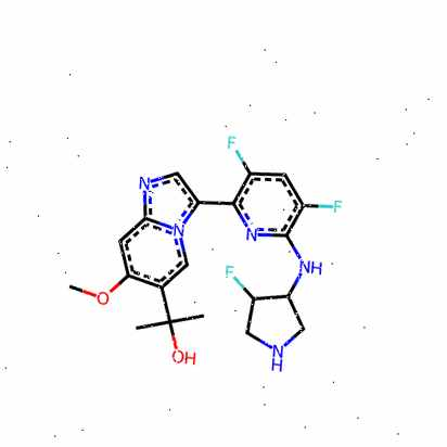 COc1cc2ncc(-c3nc(NC4CNCC4F)c(F)cc3F)n2cc1C(C)(C)O